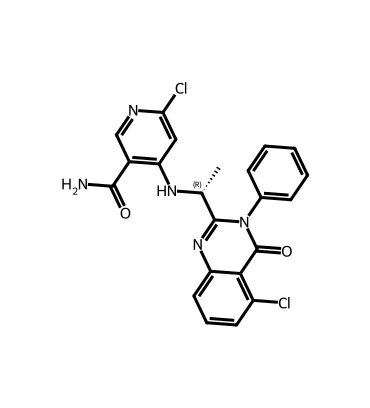 C[C@@H](Nc1cc(Cl)ncc1C(N)=O)c1nc2cccc(Cl)c2c(=O)n1-c1ccccc1